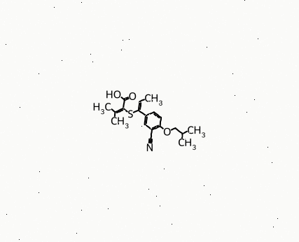 CC=C(SC(C(=O)O)=C(C)C)c1ccc(OCC(C)C)c(C#N)c1